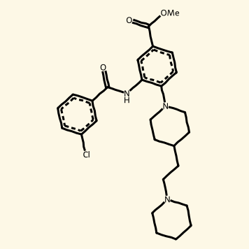 COC(=O)c1ccc(N2CCC(CCN3CCCCC3)CC2)c(NC(=O)c2cccc(Cl)c2)c1